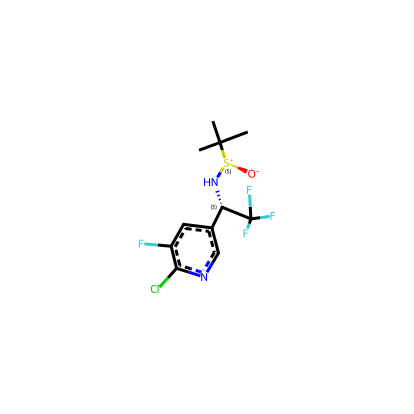 CC(C)(C)[S@@+]([O-])N[C@@H](c1cnc(Cl)c(F)c1)C(F)(F)F